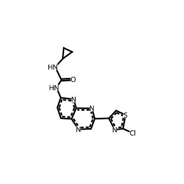 O=C(Nc1ccc2ncc(-c3csc(Cl)n3)nc2n1)NC1CC1